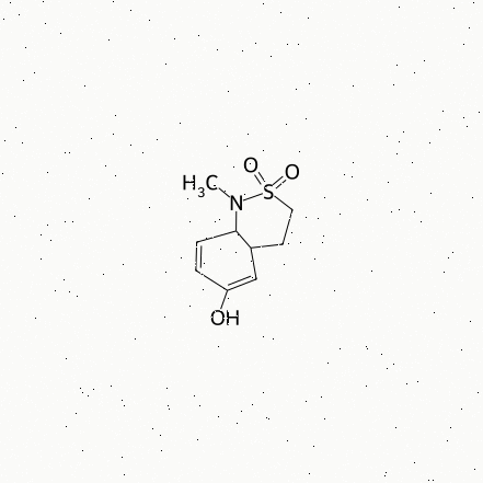 CN1C2C=CC(O)=CC2CCS1(=O)=O